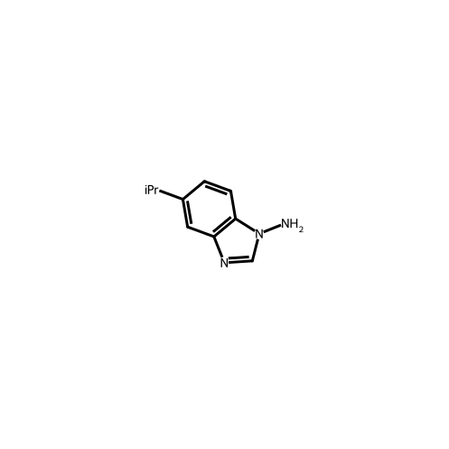 CC(C)c1ccc2c(c1)ncn2N